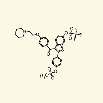 CS(=O)(=O)Oc1ccc(-c2sc3cc(OS(=O)(=O)C(F)(F)F)ccc3c2C(=O)c2ccc(OCCN3CCCCC3)cc2)cc1